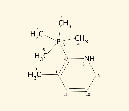 CC1=C(P(C)(C)(C)C)NCC=C1